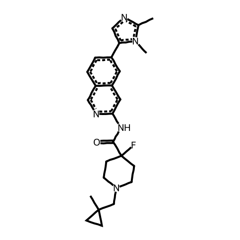 Cc1ncc(-c2ccc3cnc(NC(=O)C4(F)CCN(CC5(C)CC5)CC4)cc3c2)n1C